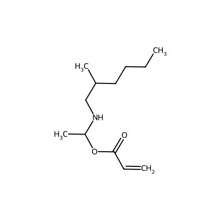 C=CC(=O)OC(C)NCC(C)CCCC